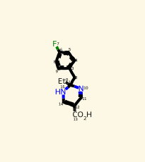 CCC1(Cc2ccc(F)cc2)N=CC(C(=O)O)=CN1